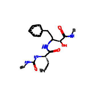 CCNC(=O)C(O)C(Cc1ccccc1)NC(=O)[C@H](CC(C)C)NC(=O)NC(C)(C)C